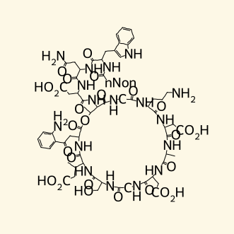 CCCCCCCCCC(=O)NC(Cc1c[nH]c2ccccc12)C(=O)NC(CC(N)=O)C(=O)NC(CC(=O)O)C(=O)NC1C(=O)NCC(=O)NC(CCCN)C(=O)NC(CC(=O)O)C(=O)NC(C)C(=O)NC(CC(=O)O)C(=O)NCC(=O)NC(CO)C(=O)NC(C(C)CC(=O)O)C(=O)NC(CC(=O)c2ccccc2N)C(=O)OC1C